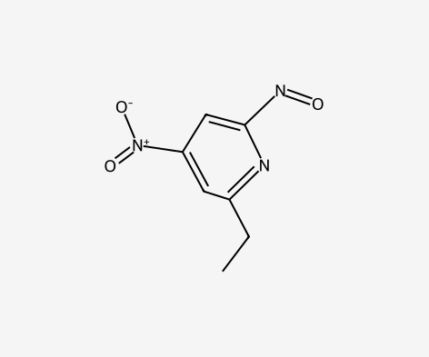 CCc1cc([N+](=O)[O-])cc(N=O)n1